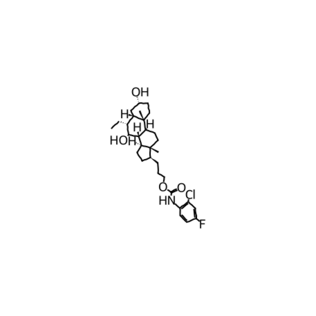 CC[C@H]1[C@@H](O)[C@@H]2[C@H](CC[C@]3(C)[C@@H](CCCOC(=O)Nc4ccc(F)cc4Cl)CC[C@@H]23)[C@@]2(C)CC[C@@H](O)C[C@@H]12